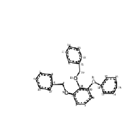 c1ccc(COc2cccc(Oc3ccccc3)c2OCc2ccccc2)cc1